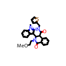 COCCN1C(=O)c2ccccc2C(C(=O)NCc2cccs2)C1c1cn(C)c2ccccc12